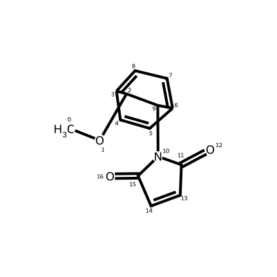 COC1c2ccc(cc2)C1N1C(=O)C=CC1=O